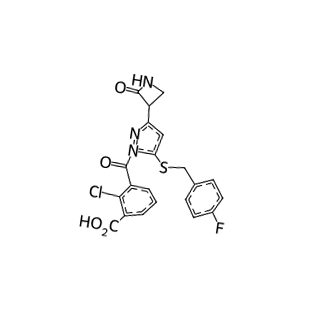 O=C(O)c1cccc(C(=O)n2nc(C3CNC3=O)cc2SCc2ccc(F)cc2)c1Cl